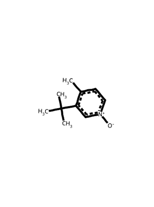 Cc1cc[n+]([O-])cc1C(C)(C)C